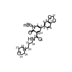 CCCCn1cc(-c2ccc3c(c2)OCO3)cc(C(=O)NCCCN2CCOCC2)c1=O